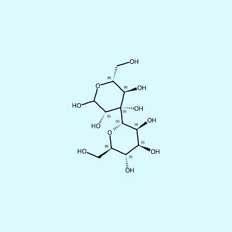 OC[C@H]1O[C@H]([C@@]2(O)[C@H](O)C(O)O[C@H](CO)[C@H]2O)[C@@H](O)[C@@H](O)[C@@H]1O